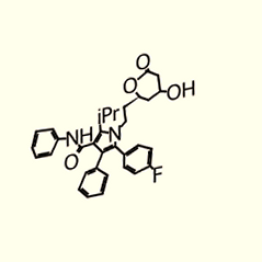 CC(C)c1c(C(=O)Nc2ccccc2)c(-c2ccccc2)c(-c2ccc(F)cc2)n1CC[C@@H]1CC(O)CC(=O)O1